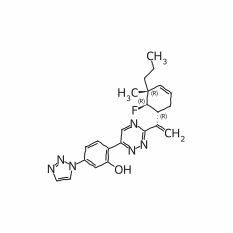 C=C(c1ncc(-c2ccc(-n3ccnn3)cc2O)nn1)[C@H]1CC=C[C@@](C)(CCC)[C@@H]1F